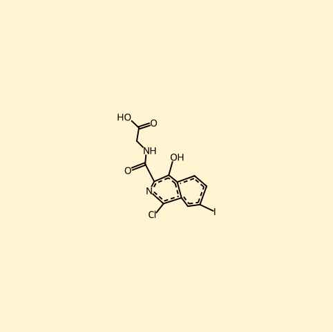 O=C(O)CNC(=O)c1nc(Cl)c2cc(I)ccc2c1O